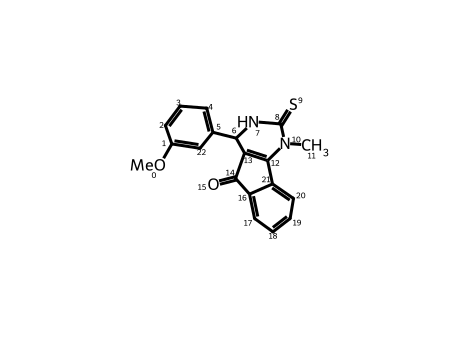 COc1cccc(C2NC(=S)N(C)C3=C2C(=O)c2ccccc23)c1